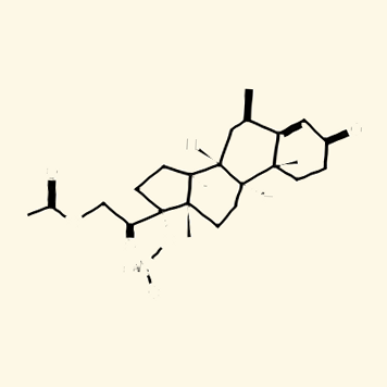 C=C1C[C@@H]2[C@H](CC[C@@]3(C)[C@H]2CC[C@]3(O[N+](=O)[O-])C(=O)COC(C)=O)[C@@]2(C)CCC(=O)C=C12